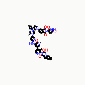 C[C@H]1CN(C2([C@H]3CCN(c4ccc5c(c4)C(=O)N(C4CCC(=O)NC4=O)C5=O)C3)CCC2)CCN1c1ccc(Nc2cc(-c3ccnc(N4CCn5c(cc6c5CC(C)(C)C6)C4=O)c3CO)cn(C)c2=O)nc1